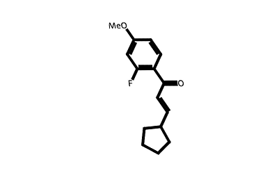 COc1ccc(C(=O)C=CC2CCCC2)c(F)c1